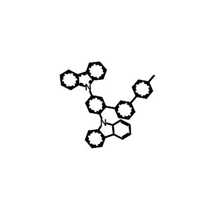 Cc1ccc(-c2cccc(-c3cc(-n4c5ccccc5c5ccccc54)ccc3N3c4ccccc4C4C=CC=CC43)c2)cc1